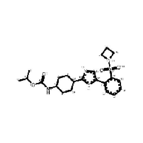 CC(C)OC(=O)NC1CCC(c2ncc(-c3ccccc3S(=O)(=O)N3CCC3)s2)CC1